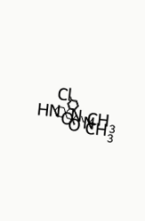 CN(C)CCN1C(=O)OC2(CCNCC2)c2cc(Cl)ccc21